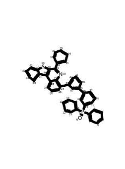 O=P(c1ccccc1)(c1ccccc1)c1cccc(-c2cccc(-c3cccc4c3nc(-c3ccccc3)c3sc5ccccc5c34)c2)c1